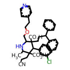 CC1NC(COCCc2ccncc2)C(CCC(c2ccccc2)c2ccccc2)(C(=O)O)C(c2cccc(Cl)c2)C1(CCC#N)C(=O)O